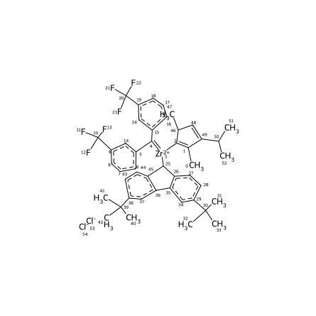 CC1=[C]([Zr+2](=[C](c2cccc(C(F)(F)F)c2)c2cccc(C(F)(F)F)c2)[CH]2c3ccc(C(C)(C)C)cc3-c3cc(C(C)(C)C)ccc32)C(C)C=C1C(C)C.[Cl-].[Cl-]